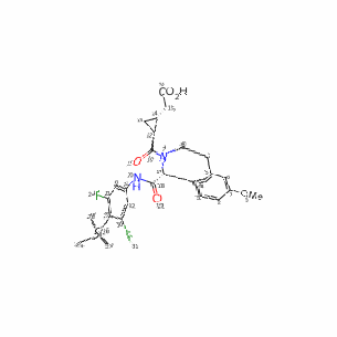 COc1ccc2c(c1)CCN(C(=O)[C@H]1C[C@@H]1CC(=O)O)[C@H]2C(=O)Nc1cc(F)c([Si](C)(C)C)c(F)c1